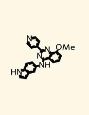 COc1cccc2c(Nc3ccc4[nH]ccc4c3)nc(-c3ccncc3)nc12